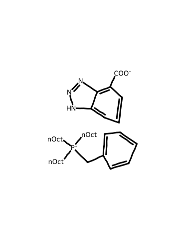 CCCCCCCC[P+](CCCCCCCC)(CCCCCCCC)Cc1ccccc1.O=C([O-])c1cccc2[nH]nnc12